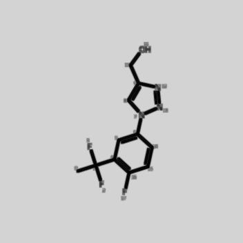 CC(F)(F)c1cc(-n2cc(CO)nn2)ccc1F